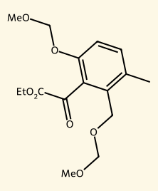 CCOC(=O)C(=O)c1c(OCOC)ccc(C)c1COCOC